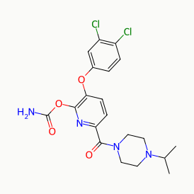 CC(C)N1CCN(C(=O)c2ccc(Oc3ccc(Cl)c(Cl)c3)c(OC(N)=O)n2)CC1